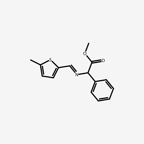 COC(=O)C(N=Cc1ccc(C)s1)c1ccccc1